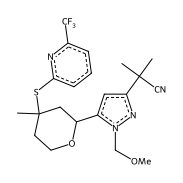 COCn1nc(C(C)(C)C#N)cc1C1CC(C)(Sc2cccc(C(F)(F)F)n2)CCO1